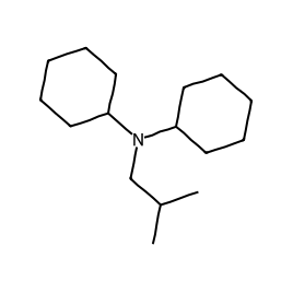 CC(C)CN(C1CCCCC1)C1CCCCC1